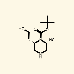 CC(C)(C)OC(=O)N1CCNC[C@@H]1CCO.Cl